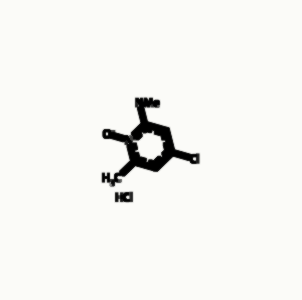 CNc1cc(Cl)cc(C)[n+]1[O-].Cl